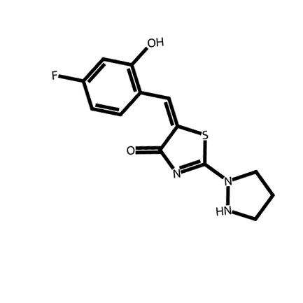 O=C1N=C(N2CCCN2)SC1=Cc1ccc(F)cc1O